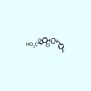 O=C(O)c1cc2c(Cl)c(N3CCN(Cc4ccc(F)cc4)CC3)ccc2o1